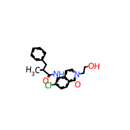 CC(Cc1ccccc1)C(=O)Nc1c(Cl)ccc2c(=O)n(CCO)ccc12